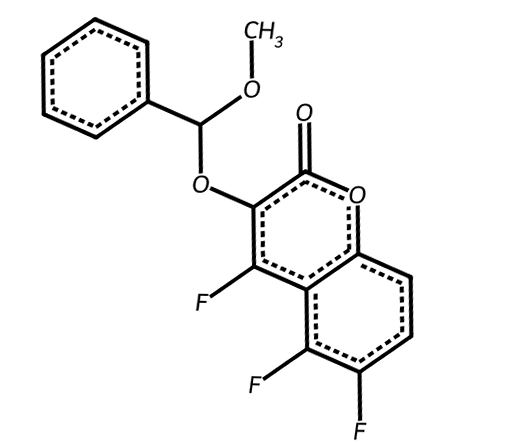 COC(Oc1c(F)c2c(F)c(F)ccc2oc1=O)c1ccccc1